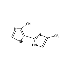 N#Cc1n[c][nH]c1-c1nc(C(F)(F)F)c[nH]1